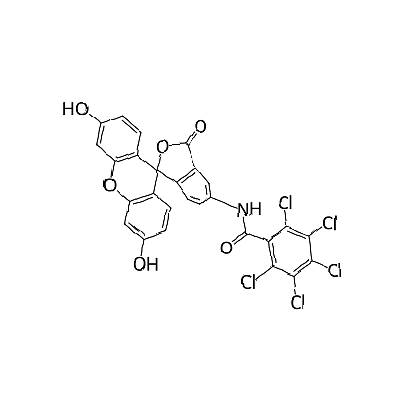 O=C1OC2(c3ccc(O)cc3Oc3cc(O)ccc32)c2ccc(NC(=O)c3c(Cl)c(Cl)c(Cl)c(Cl)c3Cl)cc21